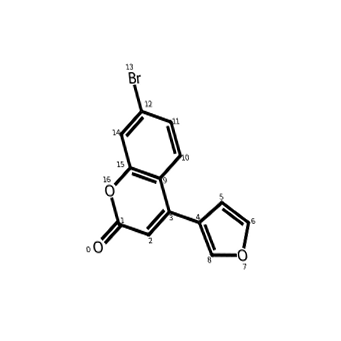 O=c1cc(-c2ccoc2)c2ccc(Br)cc2o1